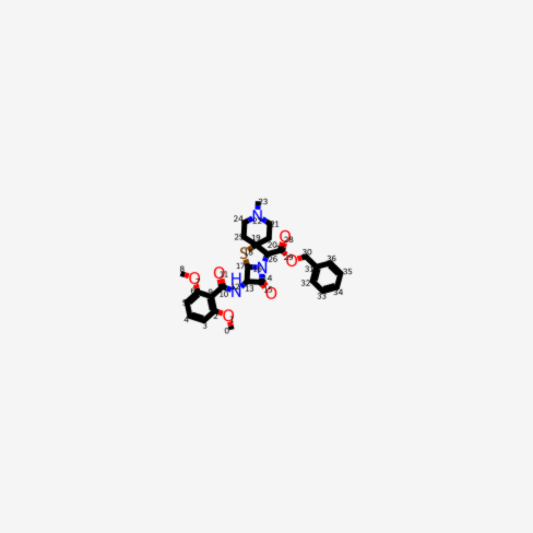 COc1cccc(OC)c1C(=O)NC1C(=O)N2C1SC1(CCN(C)CC1)C2C(=O)OCc1ccccc1